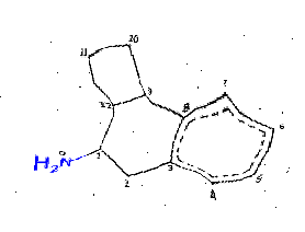 NC1Cc2ccccc2C2CCC12